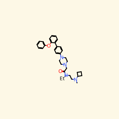 CCN(CCN(C)C1CCC1)C(=O)CN1CCN(c2ccc(-c3ccccc3Oc3ccccc3)cc2)CC1